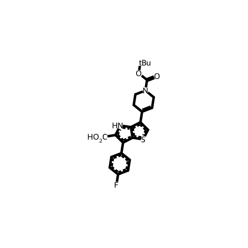 CC(C)(C)OC(=O)N1CC=C(c2csc3c(-c4ccc(F)cc4)c(C(=O)O)[nH]c23)CC1